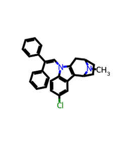 CN1C2CCC1c1c(n(C=C(c3ccccc3)c3ccccc3)c3ccc(Cl)cc13)C2